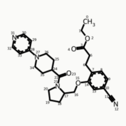 CCOC(=O)CCc1ccc(C#N)cc1OCC1CCCN1C(=O)C1CCN(c2ccncc2)CC1